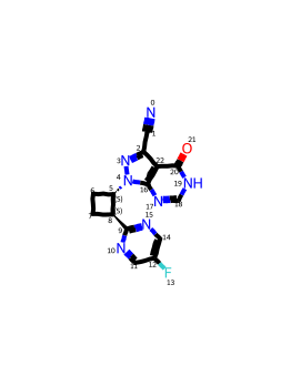 N#Cc1nn([C@H]2CC[C@@H]2c2ncc(F)cn2)c2nc[nH]c(=O)c12